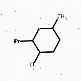 CC1CCC(Cl)C(C(C)C)C1